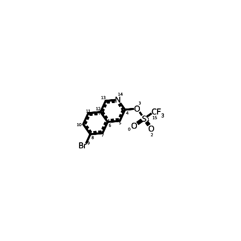 O=S(=O)(Oc1cc2cc(Br)ccc2cn1)C(F)(F)F